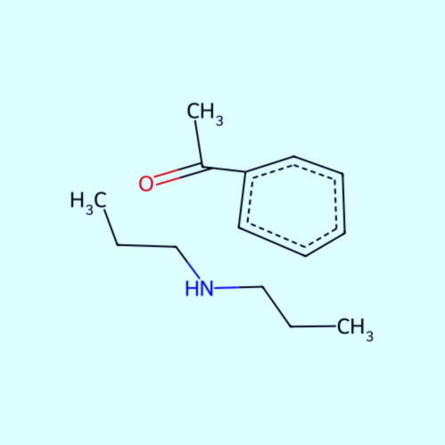 CC(=O)c1ccccc1.CCCNCCC